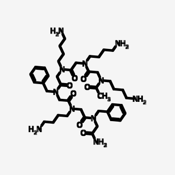 CC(=O)N(CCCCN)CC(=O)N(CCCCN)CC(=O)N(CCCCN)CC(=O)N(CC(=O)N(CCCCN)CC(=O)N(CC(N)=O)Cc1ccccc1)Cc1ccccc1